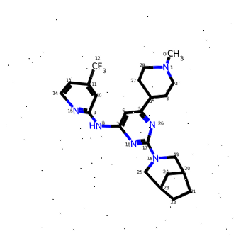 CN1CCC(c2cc(Nc3cc(C(F)(F)F)ccn3)nc(N3CC4CCC(C4)C3)n2)CC1